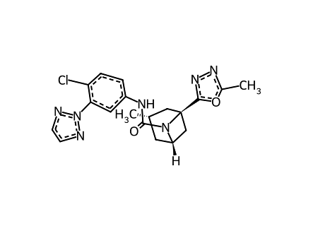 Cc1nnc([C@@]23C[C@@H](C)C[C@@H](C2)N3C(=O)Nc2ccc(Cl)c(-n3nccn3)c2)o1